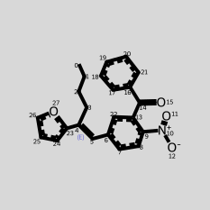 CCCC/C(=C\c1ccc([N+](=O)[O-])c(C(=O)c2ccccc2)c1)c1ccco1